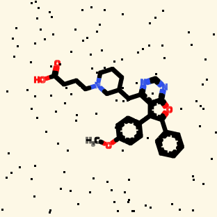 COc1ccc(-c2c(-c3ccccc3)oc3ncnc(CC4CCCN(CCCC(=O)O)C4)c23)cc1